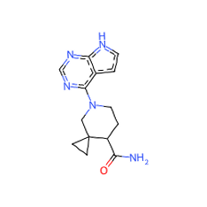 NC(=O)C1CCN(c2ncnc3[nH]ccc23)CC12CC2